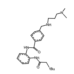 CN(C)CCCNCc1ccc(C(=O)Nc2ccccc2NC(=O)CC(C)(C)C)cc1